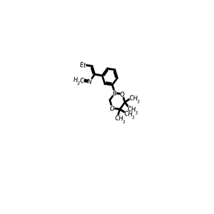 C=N/C(=C\CC)c1cccc(B2COC(C)(C)C(C)(C)O2)c1